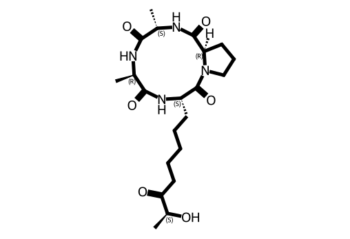 C[C@H](O)C(=O)CCCCC[C@@H]1NC(=O)[C@@H](C)NC(=O)[C@H](C)NC(=O)[C@H]2CCCN2C1=O